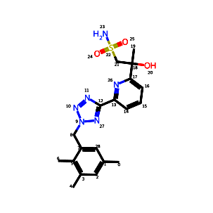 Cc1cc(C)c(C)c(Cn2nnc(-c3cccc(C(C)(O)CS(N)(=O)=O)n3)n2)c1